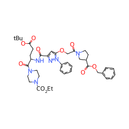 CCOC(=O)N1CCN(C(=O)C(CCC(=O)OC(C)(C)C)NC(=O)c2cc(OCC(=O)N3CCC(C(=O)OCc4ccccc4)C3)n(-c3ccccc3)n2)CC1